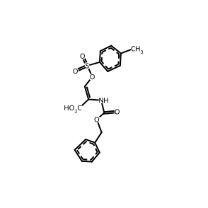 Cc1ccc(S(=O)(=O)OC=C(NC(=O)OCc2ccccc2)C(=O)O)cc1